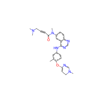 Cc1cc(Nc2ncnc3ccc(N(C)C(=O)C#CCN(C)C)cc23)ccc1OC1=CCN(C)C=N1